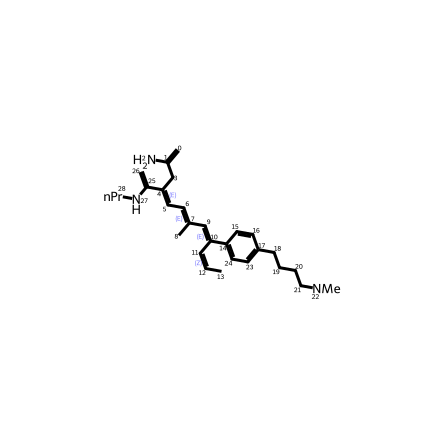 C=C(N)C\C(=C/C=C(C)/C=C(\C=C/C)c1ccc(CCCCNC)cc1)C(=C)NCCC